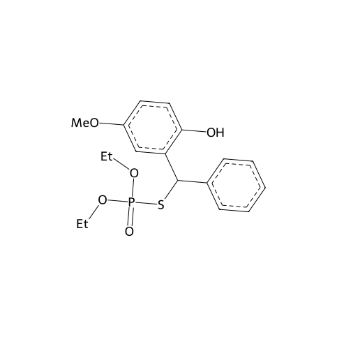 CCOP(=O)(OCC)SC(c1ccccc1)c1cc(OC)ccc1O